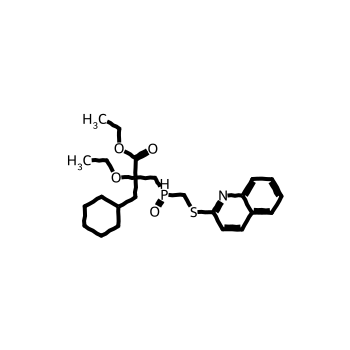 CCOC(=O)C(CC1CCCCC1)(C[PH](=O)CSc1ccc2ccccc2n1)OCC